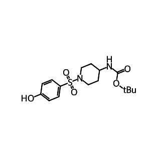 CC(C)(C)OC(=O)NC1CCN(S(=O)(=O)c2ccc(O)cc2)CC1